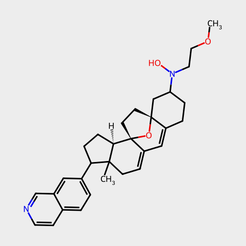 COCCN(O)C1CCC2=CC3=CCC4(C)C(c5ccc6ccncc6c5)CC[C@H]4[C@@]34CC[C@]2(C1)O4